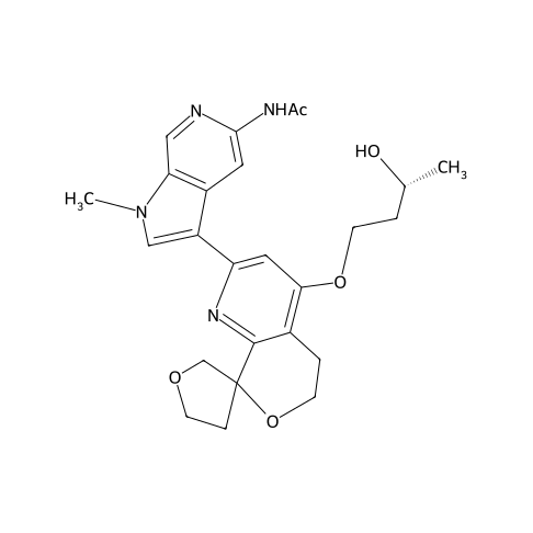 CC(=O)Nc1cc2c(-c3cc(OCC[C@@H](C)O)c4c(n3)C3(CCOC3)OCC4)cn(C)c2cn1